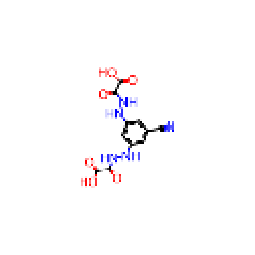 N#Cc1cc(NNC(=O)C(=O)O)cc(NNC(=O)C(=O)O)c1